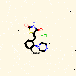 COc1cccc(/C=C2\SC(=O)NC2=O)c1N1CCNCC1.Cl